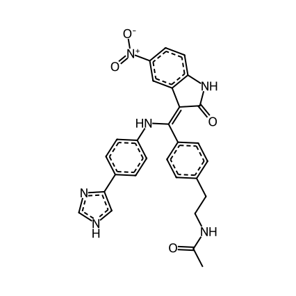 CC(=O)NCCc1ccc(C(Nc2ccc(-c3c[nH]cn3)cc2)=C2C(=O)Nc3ccc([N+](=O)[O-])cc32)cc1